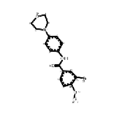 O=C(Nc1ccc(N2CCOCC2)cc1)c1ccc(OC(F)(F)F)c(Br)c1